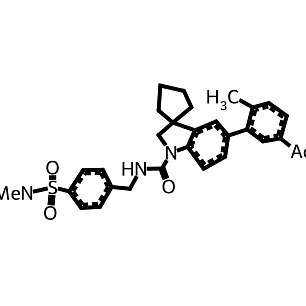 CNS(=O)(=O)c1ccc(CNC(=O)N2CC3(CCCC3)c3cc(-c4cc(C(C)=O)ccc4C)ccc32)cc1